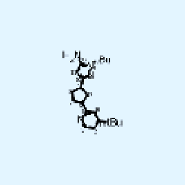 CC(C)(C)c1ccnc(C2CCC(c3cc(N)n(C(C)(C)C)n3)C2)c1